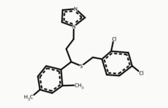 Cc1ccc(C(CCn2ccnc2)SCc2ccc(Cl)cc2Cl)c(C)c1